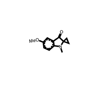 COc1ccc2c(c1)C(=O)C1(CC1)N2C